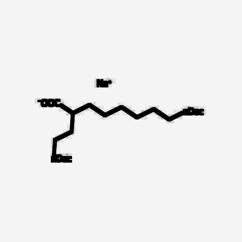 CCCCCCCCCCCCCCCCC(CCCCCCCCCCCC)C(=O)[O-].[Na+]